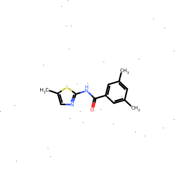 Cc1cc(C)cc(C(=O)Nc2ncc(C)s2)c1